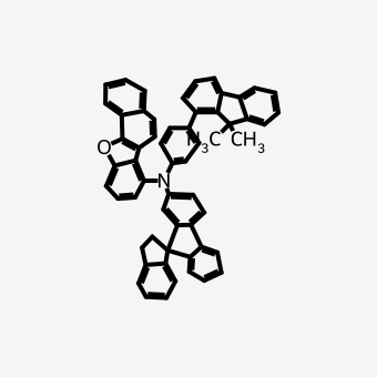 CC1(C)c2ccccc2-c2cccc(-c3ccc(N(c4ccc5c(c4)C4(CCc6ccccc64)c4ccccc4-5)c4cccc5oc6c7ccccc7ccc6c45)cc3)c21